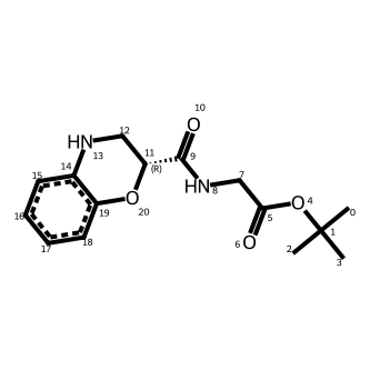 CC(C)(C)OC(=O)CNC(=O)[C@H]1CNc2ccccc2O1